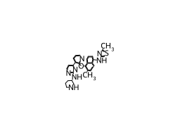 Cc1nc(Nc2cccc3c(Oc4ncccc4-c4ccnc(N[C@H]5CCCNC5)n4)c(C)ccc23)cs1